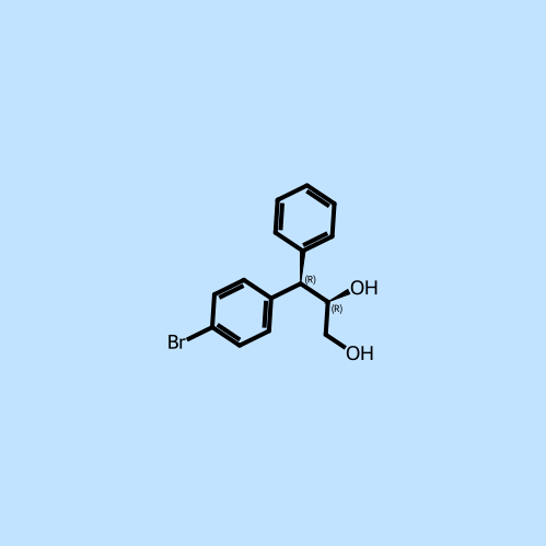 OC[C@H](O)[C@H](c1ccccc1)c1ccc(Br)cc1